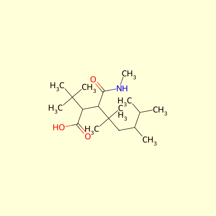 CNC(=O)C(C(C(=O)O)C(C)(C)C)C(C)(C)CC(C)C(C)C